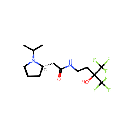 CC(C)N1CCC[C@H]1CC(=O)NCCC(O)(C(F)(F)F)C(F)(F)F